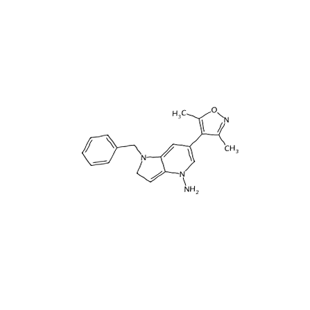 Cc1noc(C)c1C1=CN(N)C2=CCN(Cc3ccccc3)C2=C1